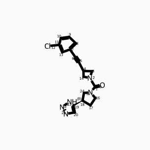 O=C(N1CC(C#Cc2cccc(Cl)c2)C1)N1CC[C@@H](c2cnn[nH]2)C1